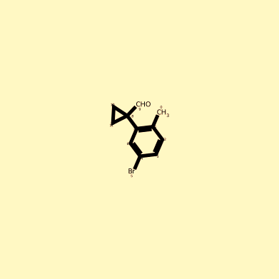 Cc1ccc(Br)cc1C1(C=O)CC1